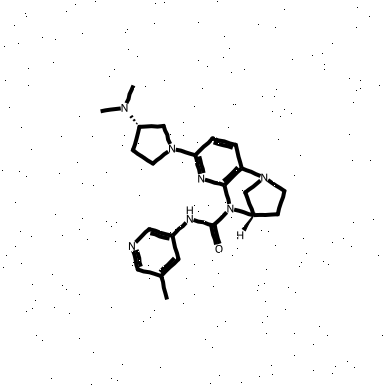 Cc1cncc(NC(=O)N2c3nc(N4CC[C@H](N(C)C)C4)ccc3N3CC[C@H]2C3)c1